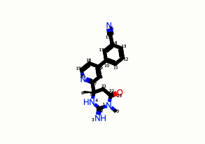 CN1C(=N)N[C@](C)(c2cc(-c3cccc(C#N)c3)ccn2)CC1=O